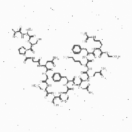 CC[C@H](C)[C@H](NC(=O)[C@H](C)N)C(=O)N[C@@H](CO)C(=O)N1CCC[C@H]1C(=O)NCC(=O)N[C@@H](CC(N)=O)C(=O)NCC(=O)N[C@@H](CC(=O)O)C(=O)N[C@H](C(=O)N[C@@H](CO)C(=O)N[C@@H](Cc1ccccc1)C(=O)N[C@@H](CC(N)=O)C(=O)N[C@@H](CCC(N)=O)C(=O)N[C@@H](CCCCN)C(=O)N[C@@H](Cc1ccccc1)C(=O)N[C@@H](CCCNC(=N)N)C(=O)NCC(=O)O)[C@@H](C)O